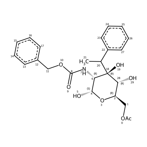 CC(=O)OC[C@H]1O[C@H](O)[C@H](NC(=O)OCc2ccccc2)[C@](O)(C(C)c2ccccc2)[C@@H]1O